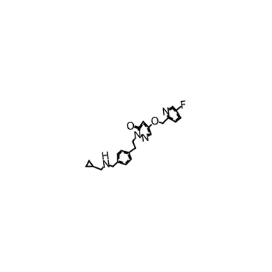 O=c1cc(OCc2ccc(F)cn2)cnn1CCc1ccc(CNCC2CC2)cc1